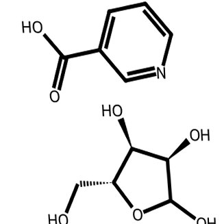 O=C(O)c1cccnc1.OC[C@H]1OC(O)[C@H](O)[C@@H]1O